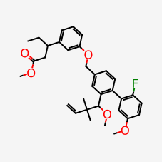 C=CC(C)(C)C(OC)c1cc(COc2cccc(C(CC)CC(=O)OC)c2)ccc1-c1cc(OC)ccc1F